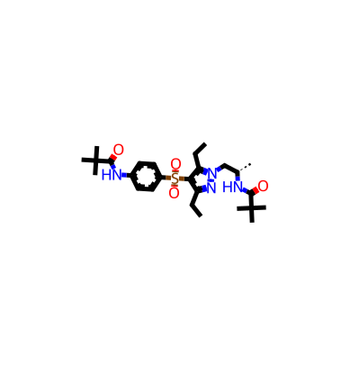 CCc1nn(C[C@H](C)NC(=O)C(C)(C)C)c(CC)c1S(=O)(=O)c1ccc(NC(=O)C(C)(C)C)cc1